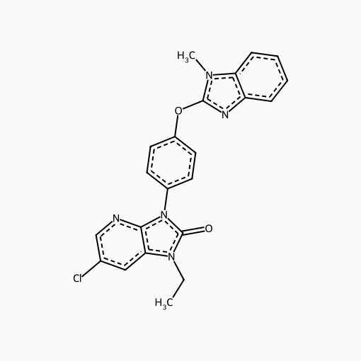 CCn1c(=O)n(-c2ccc(Oc3nc4ccccc4n3C)cc2)c2ncc(Cl)cc21